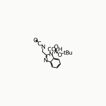 CC(C)(C)OC(=O)[N+]1(C(=O)O)C(CN=C=O)=Nc2ccccc21